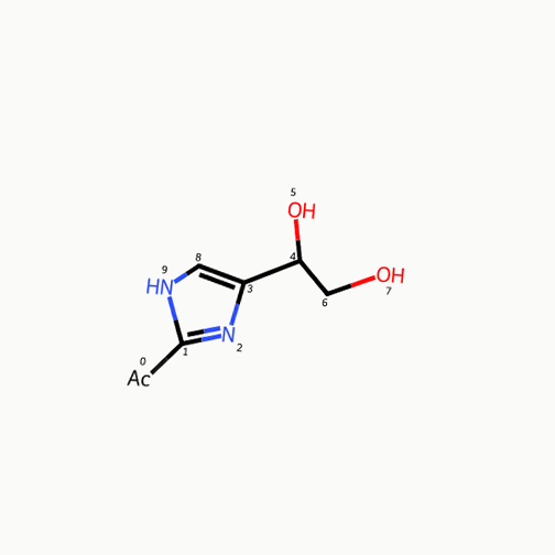 CC(=O)c1nc(C(O)CO)c[nH]1